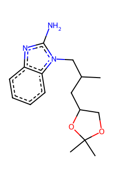 CC(CC1COC(C)(C)O1)Cn1c(N)nc2ccccc21